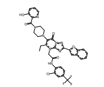 CCc1c(N2CCN(C(=O)c3ncccc3O)CC2)c(=O)n2nc(-c3cc4ccccc4o3)nc2n1CC(=O)Nc1ccc(C(F)(F)F)cc1Cl